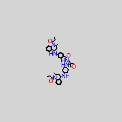 CCC(=O)N1c2ccccc2[C@H](Nc2ccc(C(=O)NCC3(NC4CCC(N[C@@H]5C[C@H](C)N(C(=O)CC)c6ccccc65)CC4)COC3)cc2)C[C@@H]1C